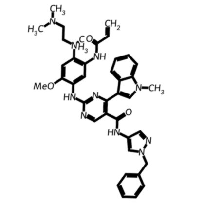 C=CC(=O)Nc1cc(Nc2ncc(C(=O)Nc3cnn(Cc4ccccc4)c3)c(-c3cn(C)c4ccccc34)n2)c(OC)cc1N(C)CCN(C)C